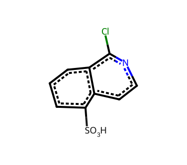 O=S(=O)(O)c1cccc2c(Cl)nccc12